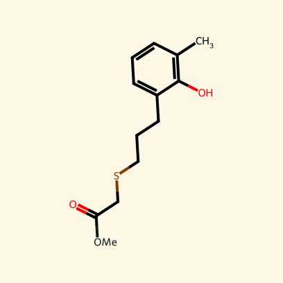 COC(=O)CSCCCc1cccc(C)c1O